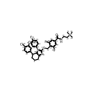 COc1cc(C2CCCc3nc(SCc4c(F)cc(C(=O)NCC[N+](C)(C)C)cc4F)n(-c4ccc(F)cc4)c32)ccc1Cl